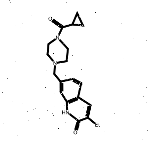 CCc1cc2ccc(CN3CCN(C(=O)C4CC4)CC3)cc2[nH]c1=O